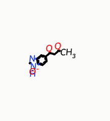 CC(=O)CC(=O)c1ccc2c(c1)N=C[NH+]2[O-]